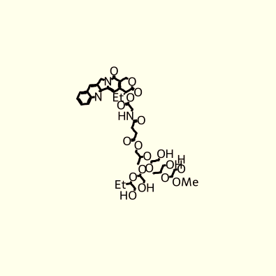 CCC(CO)OC(CO)OCC(COC(=O)CCC(=O)NCC(=O)O[C@@]1(CC)C(=O)OCc2c1cc1n(c2=O)Cc2cc3ccccc3nc2-1)OC(CO)OCC(CO)OC(CO)OC